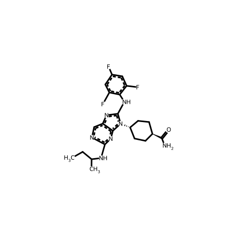 CCC(C)Nc1ncc2nc(Nc3c(F)cc(F)cc3F)n([C@H]3CC[C@H](C(N)=O)CC3)c2n1